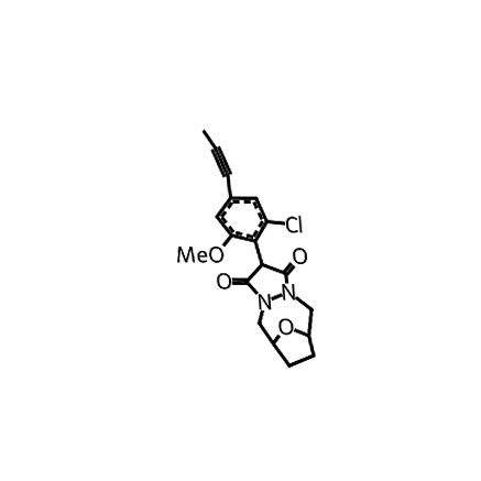 CC#Cc1cc(Cl)c(C2C(=O)N3CC4CCC(CN3C2=O)O4)c(OC)c1